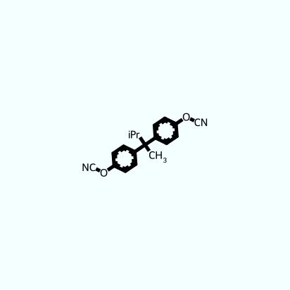 CC(C)C(C)(c1ccc(OC#N)cc1)c1ccc(OC#N)cc1